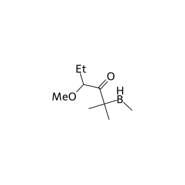 CBC(C)(C)C(=O)C(CC)OC